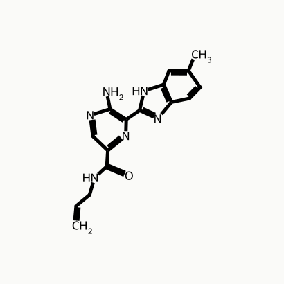 C=CCNC(=O)c1cnc(N)c(-c2nc3ccc(C)cc3[nH]2)n1